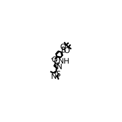 COc1ccc(B2OC(C)(C)C(C)(C)O2)cc1Nc1nc(-c2sc(C)nc2C)cs1